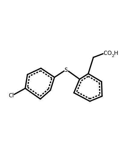 O=C(O)Cc1ccccc1Sc1ccc(Cl)cc1